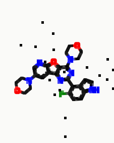 Fc1ccc2[nH]ccc2c1-c1nc(N2CCOCC2)c2oc3ncc(N4CCOCC4)cc3c2n1